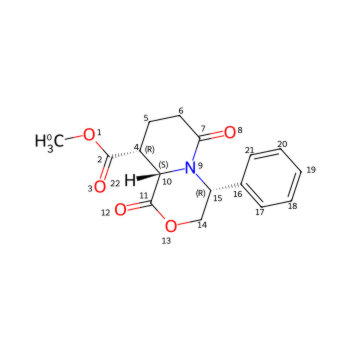 COC(=O)[C@@H]1CCC(=O)N2[C@@H]1C(=O)OC[C@H]2c1ccccc1